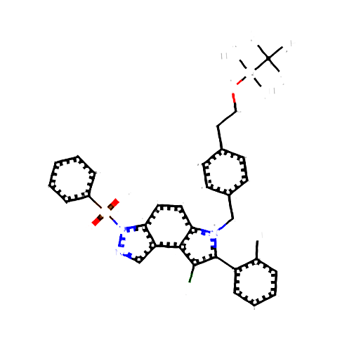 Cc1ccccc1-c1c(F)c2c3cnn(S(=O)(=O)c4ccccc4)c3ccc2n1Cc1ccc(CCO[Si](C)(C)C(C)(C)C)cc1